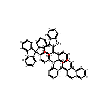 c1ccc(C2(c3ccc(N(c4ccccc4-c4cccc5c4ccc4ccccc45)c4ccccc4-c4cccc5c4oc4ccccc45)cc3)c3ccccc3-c3ccccc32)cc1